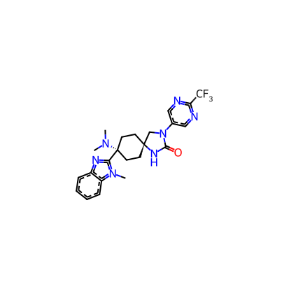 Cn1c2ccccc2nc1[C@]1(N(C)C)CC[C@@]2(CC1)CN(c1cnc(C(F)(F)F)nc1)C(=O)N2